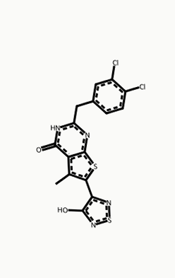 Cc1c(-c2nsnc2O)sc2nc(Cc3ccc(Cl)c(Cl)c3)[nH]c(=O)c12